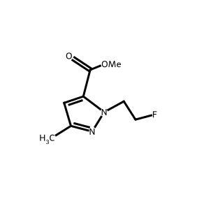 COC(=O)c1cc(C)nn1CCF